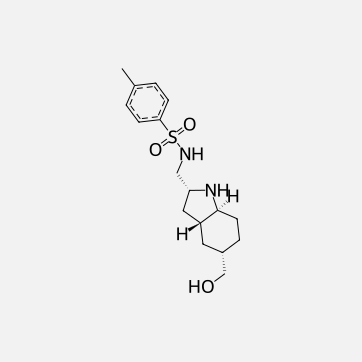 Cc1ccc(S(=O)(=O)NC[C@H]2C[C@H]3C[C@@H](CO)CC[C@@H]3N2)cc1